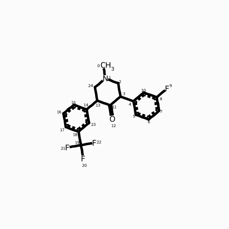 CN1CC(c2cccc(F)c2)C(=O)C(c2cccc(C(F)(F)F)c2)C1